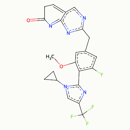 COc1cc(Cc2ncc3c(n2)=NC(=O)CC=3)cc(F)c1-c1nc(C(F)(F)F)cn1C1CC1